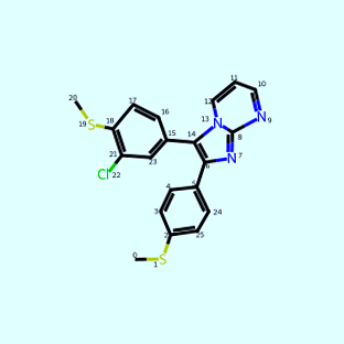 CSc1ccc(-c2nc3ncccn3c2-c2ccc(SC)c(Cl)c2)cc1